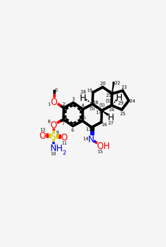 COc1cc2c(cc1OS(N)(=O)=O)C(=NO)C[C@@H]1[C@@H]2CC[C@]2(C)CCC[C@@H]12